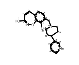 OC1=NOc2c(ccc(CN3CCC(c4cccnc4)CC3)c2O)C=C1